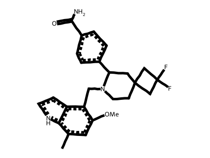 COc1cc(C)c2[nH]ccc2c1CN1CCC2(CC1c1ccc(C(N)=O)cc1)CC(F)(F)C2